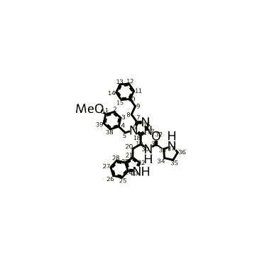 COc1ccc(Cn2c(CCc3ccccc3)nnc2C(Cc2c[nH]c3ccccc23)NC(=O)[C@@H]2CCCN2)cc1